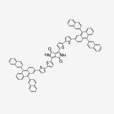 O=C1NC(c2ccc(-c3ccc(-c4ccc5c(-c6ccc7ccccc7c6)c6ccccc6c(-c6ccc7ccccc7c6)c5c4)s3)s2)=C2C(=O)NC(c3ccc(-c4ccc(-c5ccc6c(-c7ccc8ccccc8c7)c7ccccc7c(-c7ccc8ccccc8c7)c6c5)s4)s3)=C12